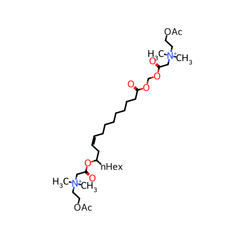 CCCCCCC(C/C=C\CCCCCCCC(=O)OCOC(=O)C[N+](C)(C)CCOC(C)=O)OC(=O)C[N+](C)(C)CCOC(C)=O